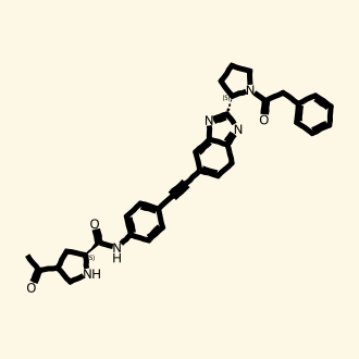 CC(=O)C1CN[C@H](C(=O)Nc2ccc(C#CC3=CCC4=NC([C@@H]5CCCN5C(=O)Cc5ccccc5)=NC4=C3)cc2)C1